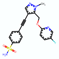 Cn1ncc(C#Cc2ccc(S(N)(=O)=O)cc2)c1COc1ccc(F)cn1